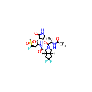 CC(C)(C)[C@H](NC(=O)C(F)(F)F)C(=O)N1C[C@@H]2CC(F)(F)C[C@@H]2[C@@H]1C(=O)N[C@@H](/C=C(/F)S(C)(=O)=O)C[C@H]1CCNC1=O